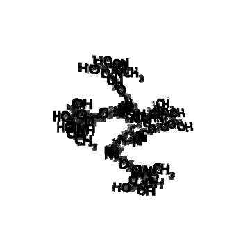 CCCCCNC(=O)[C@H](CCCCN(Cc1cn(CCOCCO[C@@H]2O[C@H](CO)[C@H](O)[C@H](O)[C@H]2NC(C)=O)nn1)Cc1cn(CCOCCO[C@@H]2O[C@H](CO)[C@H](O)[C@H](O)[C@H]2NC(C)=O)nn1)N(Cc1cn(CCOCCO[C@@H]2O[C@H](CO)[C@H](O)[C@H](O)[C@H]2NC(C)=O)nn1)Cc1cn(CCOCCO[C@@H]2O[C@H](CO)[C@H](O)[C@H](O)[C@H]2NC(C)=O)nn1